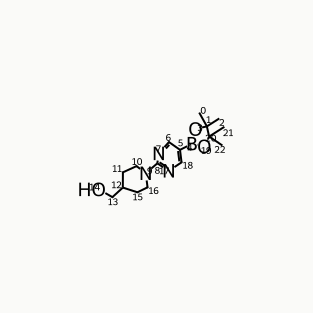 CC1(C)OB(c2cnc(N3CCC(CO)CC3)nc2)OC1(C)C